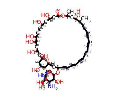 C[C@H]1C[C@H](O)[C@@H](C)/C=C/C=C/C=C/C=C/C=C/C=C/C=C/C(O[C@@H]2OC[C@@H](O)[C@H](N)[C@@H]2O)C[C@@H]2OC(O)(CC(O)CC(O)C(O)CCC(O)CC(O)CC(=O)O1)C[C@H](O)[C@H]2C(=O)NCCS